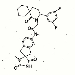 CN(C(=O)CN1C(=O)C2(CCCCC2)CCC1c1cc(F)cc(F)c1)c1ccc2c(c1)CC1(C2)C(=O)NC(=O)N1C